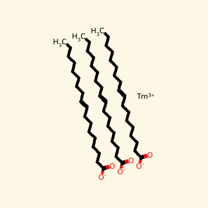 CCCCCCCCC=CCCCCCCCC(=O)[O-].CCCCCCCCC=CCCCCCCCC(=O)[O-].CCCCCCCCC=CCCCCCCCC(=O)[O-].[Tm+3]